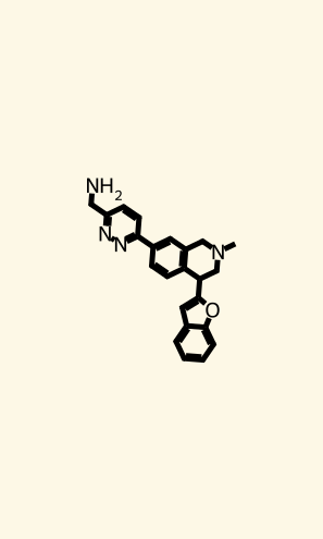 CN1Cc2cc(-c3ccc(CN)nn3)ccc2C(c2cc3ccccc3o2)C1